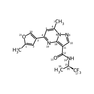 Cc1cc(-c2cc(C)n3ncc(C(=O)N[C@H](C)C(F)(F)F)c3n2)co1